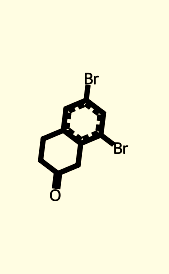 O=C1CCc2cc(Br)cc(Br)c2C1